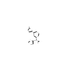 O=C(O)C(c1ccc(F)c(-c2ccc(Cl)s2)c1)c1cocn1